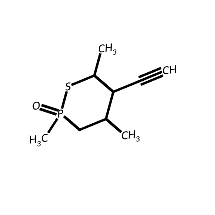 C#CC1C(C)CP(C)(=O)SC1C